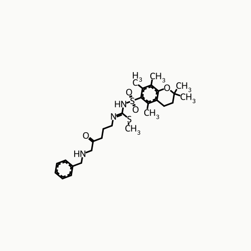 CSC(=NCCCC(=O)CNCc1ccccc1)NS(=O)(=O)c1c(C)c(C)c2c(c1C)CCC(C)(C)O2